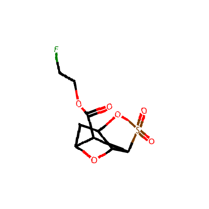 O=C(OCCF)C1C2CC3OS(=O)(=O)C1C3O2